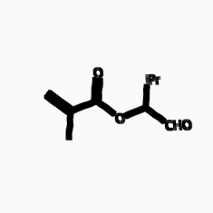 C=C(C)C(=O)OC(C=O)C(C)C